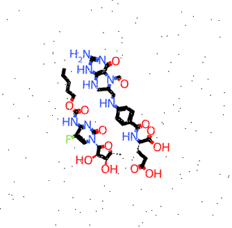 CCCCCOC(=O)Nc1nc(=O)n([C@@H]2O[C@H](C)[C@@H](O)[C@H]2O)cc1F.Nc1nc(=O)c2c([nH]1)NCC(CNc1ccc(C(=O)N[C@@H](CCC(=O)O)C(=O)O)cc1)N2C=O